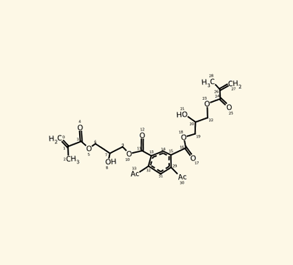 C=C(C)C(=O)OCC(O)COC(=O)c1cc(C(=O)OCC(O)COC(=O)C(=C)C)c(C(C)=O)cc1C(C)=O